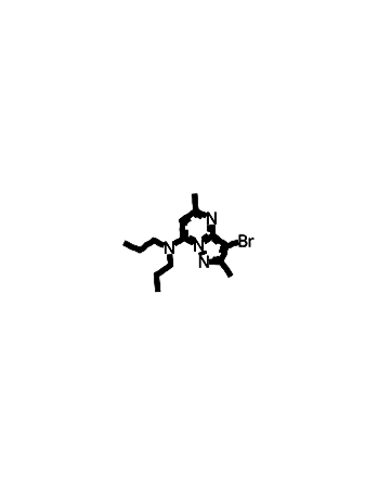 CCCN(CCC)c1cc(C)nc2c(Br)c(C)nn12